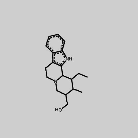 CCC1C(C)C(CO)CN2CCc3c([nH]c4ccccc34)C12